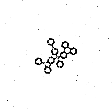 c1ccc(-c2ccc([Si](c3ccccc3)(c3ccc4c5ccccc5c5ccccc5c4c3)c3ccc4c(c3)c3ccccc3n4-c3ccccc3)cc2)cc1